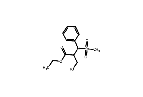 CCOC(=O)C(CO)N(c1ccccc1)S(C)(=O)=O